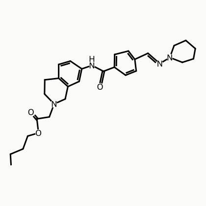 CCCCOC(=O)CN1CCc2ccc(NC(=O)c3ccc(C=NN4CCCCC4)cc3)cc2C1